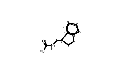 [O]C(=O)NCC1CCc2ccccc21